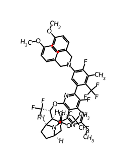 COc1ccc(CN(Cc2ccc(OC)cc2)c2cc(-c3nc4c5c(nc(SC)nc5c3F)N3C[C@H]5CC[C@@H]([C@H]3[C@H](C(F)(F)F)O4)N5C(=O)OC(C)(C)C)c(C(F)(F)F)c(C)c2F)cc1